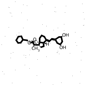 C[C@H](C(=O)OCC1CCCCC1)[C@H]1CC[C@H]2/C(=C/C=C3C[C@@H](O)C[C@H](O)C3)CCC[C@]12C